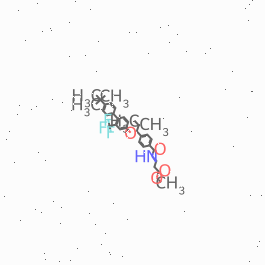 COC(=O)CCNC(=O)c1ccc(C(Oc2ccc(-c3ccc(C(C)(C)C)cc3)c(C(F)(F)F)c2)C(C)C)cc1